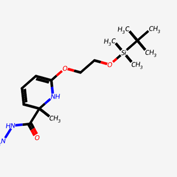 CC1(C(=O)NN)C=CC=C(OCCO[Si](C)(C)C(C)(C)C)N1